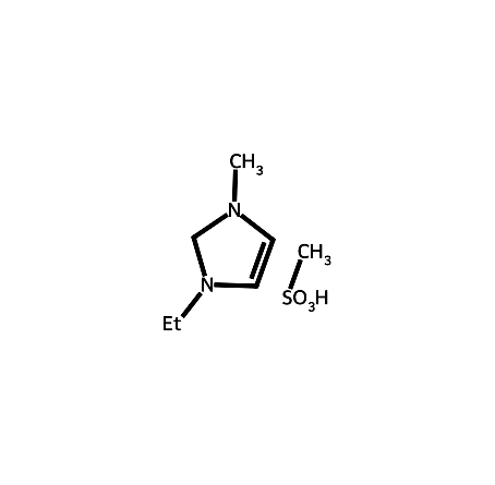 CCN1C=CN(C)C1.CS(=O)(=O)O